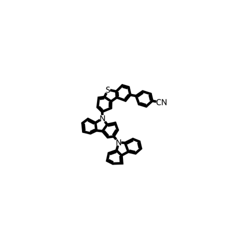 N#Cc1ccc(-c2ccc3sc4ccc(-n5c6ccccc6c6cc(-n7c8ccccc8c8ccccc87)ccc65)cc4c3c2)cc1